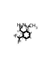 CN(N)c1cccc(C(F)F)c1CBr